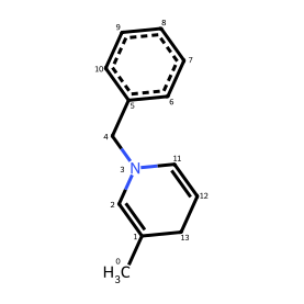 CC1=CN(Cc2ccccc2)C=CC1